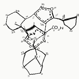 Cc1cc(C(=O)O)nc(N2C3CCC2CC(OCc2c(C4CCCCC4C(F)(F)F)noc2C2CC2)C3)n1